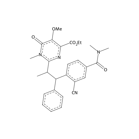 CCOC(=O)c1nc(C(C)C(c2ccccc2)c2ccc(C(=O)N(C)C)cc2C#N)n(C)c(=O)c1OC